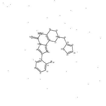 O=c1[nH]c2c(c3nc(-c4ccccc4F)cn13)CN(Cc1cccs1)CC2